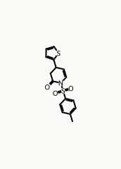 Cc1ccc(S(=O)(=O)N2C=CC(c3cccs3)CC2=O)cc1